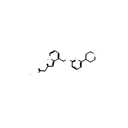 COC(=O)Cc1cc2c(COc3cccc(C4CCNCC4)n3)cccn2n1